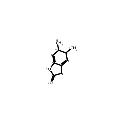 CC1C=C2CC(=O)OC2=CC1C